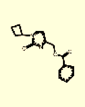 O=C(OCc1ccn(C2CCC2)c(=O)n1)c1ccccc1